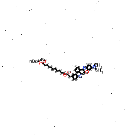 CCCCC(CCCC)OC(=O)CCCCCCCCCCOC(=O)Cc1ccc(/N=c2/cc3oc4cc(N(C)C)ccc4nc-3c3ccccc23)cc1